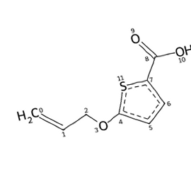 C=CCOc1ccc(C(=O)O)s1